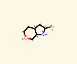 CC(=O)C1CC2CCOCC2N1